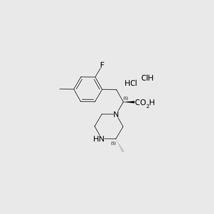 Cc1ccc(C[C@@H](C(=O)O)N2CCN[C@@H](C)C2)c(F)c1.Cl.Cl